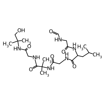 CC(C)CC(NC(=O)CNC=O)C(=O)NCC(=O)NC(C)(C)C(=O)NCC(=O)NC(C)(C)CO